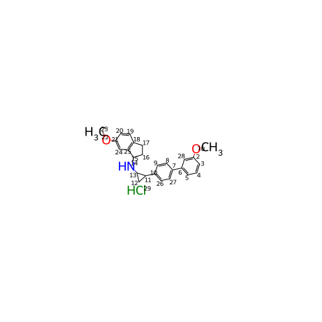 COc1cccc(-c2ccc(C3CC3NC3CCc4ccc(OC)cc43)cc2)c1.Cl